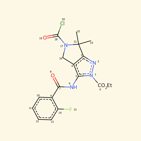 CCOC(=O)n1nc2c(c1NC(=O)c1ccccc1F)CN(C(=O)Cl)C2(C)C